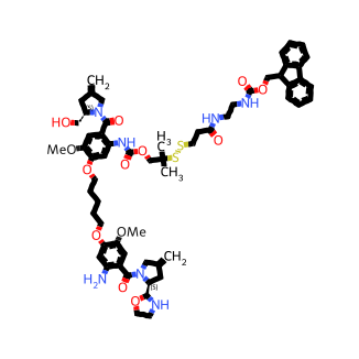 C=C1C[C@@H](CO)N(C(=O)c2cc(OC)c(OCCCCCOc3cc(N)c(C(=O)N4CC(=C)C[C@H]4C4NCCO4)cc3OC)cc2NC(=O)OCC(C)(C)SSCCC(=O)NCCNC(=O)OCC2c3ccccc3-c3ccccc32)C1